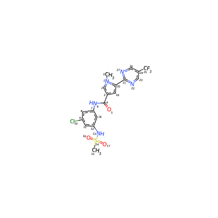 Cn1cc(C(=O)Nc2cc(Cl)cc(NS(C)(=O)=O)c2)cc1-c1ncc(C(F)(F)F)cn1